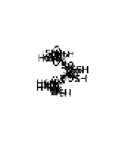 O=C1N(CCS)C2C(N1CCS)N(CCSSCCN1C(=O)N(CCS)C3C1N(CCSSCCN1C(=O)N(CCS)C4C1N(CCS)C(=O)N4CCS)C(=O)N3CCS)C(=O)N2CCS